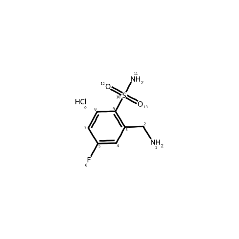 Cl.NCc1cc(F)ccc1S(N)(=O)=O